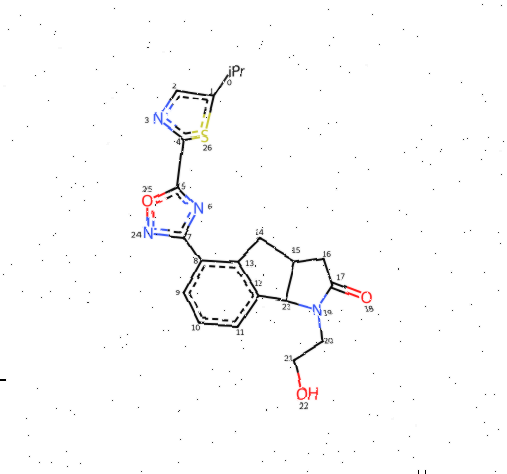 CC(C)c1cnc(-c2nc(-c3cccc4c3CC3CC(=O)N(CCO)C43)no2)s1